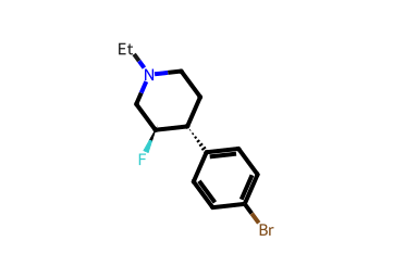 CCN1CC[C@H](c2ccc(Br)cc2)[C@@H](F)C1